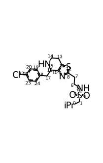 CC(C)CS(=O)(=O)NCCc1nc2c(s1)CCNC2Cc1ccc(Cl)cc1